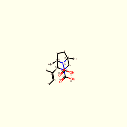 CC=C(C)[C@H]1[C@@H]2CC[C@H](CN1C(=O)O)N2C(=O)O